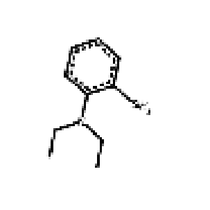 CCN(CC)c1ccccc1[SiH3]